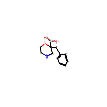 OB(O)C1(Cc2ccccc2)CNCCO1